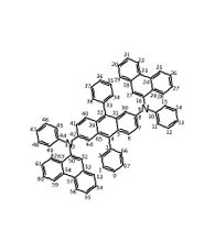 c1ccc(-c2c3ccc(N(c4ccccc4)c4cc5ccccc5c5ccccc45)cc3c(-c3ccccc3)c3ccc(N(c4ccccc4)c4cc5ccccc5c5ccccc45)cc23)cc1